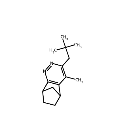 Cc1c(CC(C)(C)C)nnc2c1C1CCC2C1